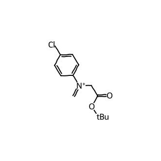 C=[N+](CC(=O)OC(C)(C)C)c1ccc(Cl)cc1